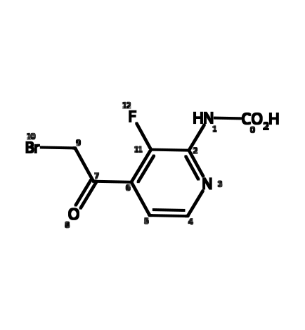 O=C(O)Nc1nccc(C(=O)CBr)c1F